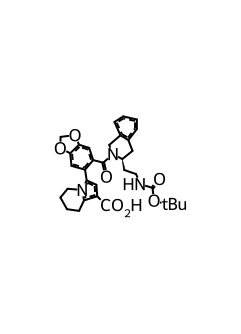 CC(C)(C)OC(=O)NCC[C@@H]1Cc2ccccc2CN1C(=O)c1cc2c(cc1-c1cc(C(=O)O)c3n1CCCC3)OCO2